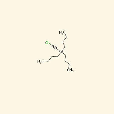 CCC[CH2][Sn]([C]#CCl)([CH2]CCC)[CH2]CCC